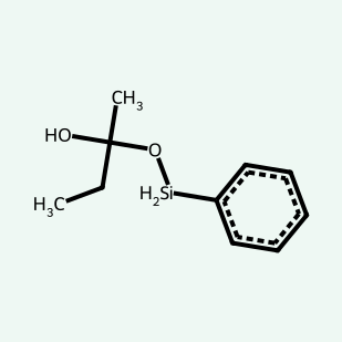 CCC(C)(O)O[SiH2]c1ccccc1